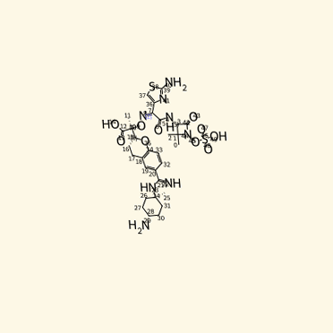 CC1(C)[C@H](NC(=O)/C(=N\O[C@](C)(C(=O)O)[C@H]2CCc3cc(C(=N)N[C@]4(C)CC[C@@H](N)CC4)ccc3O2)c2csc(N)n2)C(=O)N1OS(=O)(=O)O